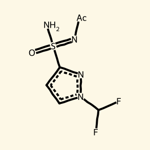 CC(=O)N=S(N)(=O)c1ccn(C(F)F)n1